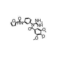 COc1cc(C(=O)N(C(=N)N)c2cccc(NC(=O)c3ccco3)c2)cc(OC)c1OC